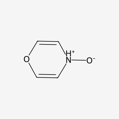 [O-][NH+]1C=COC=C1